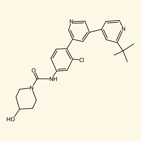 CC(C)(C)c1cc(-c2cncc(-c3ccc(NC(=O)N4CCC(O)CC4)cc3Cl)c2)ccn1